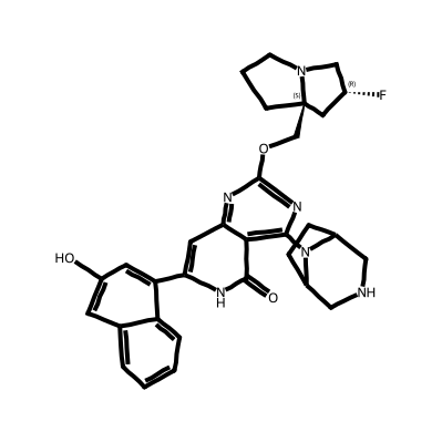 O=c1[nH]c(-c2cc(O)cc3ccccc23)cc2nc(OC[C@@]34CCCN3C[C@H](F)C4)nc(N3C4CCC3CNC4)c12